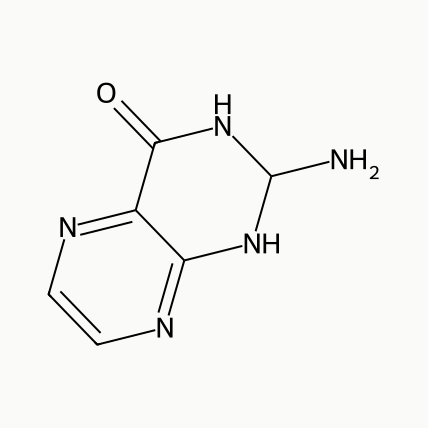 NC1NC(=O)c2nccnc2N1